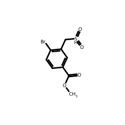 COC(=O)c1ccc(Br)c(C[SH](=O)=O)c1